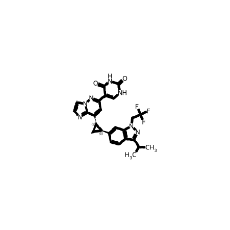 CC(C)c1nn(CC(F)(F)F)c2cc([C@H]3C[C@@H]3c3cc(-c4c[nH]c(=O)[nH]c4=O)nn4ccnc34)ccc12